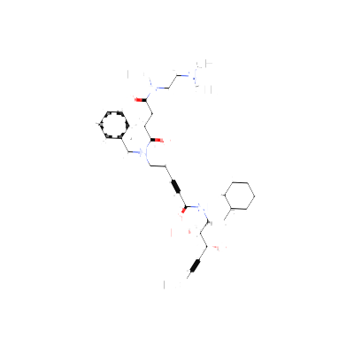 CC#C[C@H](O)[C@H](O)[C@@H](CC1CCCCC1)NC(=O)C#CCCN(Cc1ccccc1)C(=O)CCC(=O)N(C)CCN(C)C